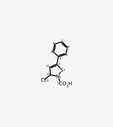 O=C(O)N1SC(c2ccccc2)=CC1Cl